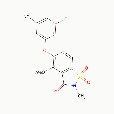 COc1c(Oc2cc(F)cc(C#N)c2)ccc2c1C(=O)N(C)S2(=O)=O